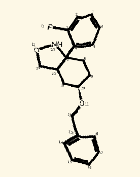 Fc1ccccc1C12CC[C@@H](OCc3ccccc3)CC1CON2